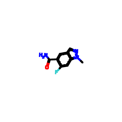 Cn1ncc2cc(C(N)=O)c(F)cc21